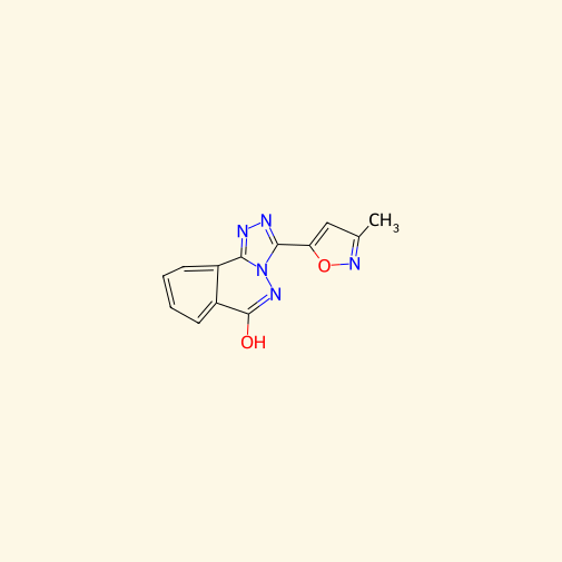 Cc1cc(-c2nnc3c4ccccc4c(O)nn23)on1